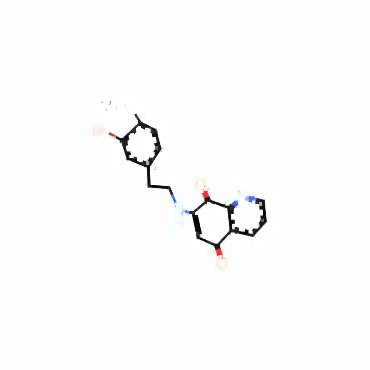 COc1ccc(CCNC2=CC(=O)c3cccnc3C2=O)cc1Br